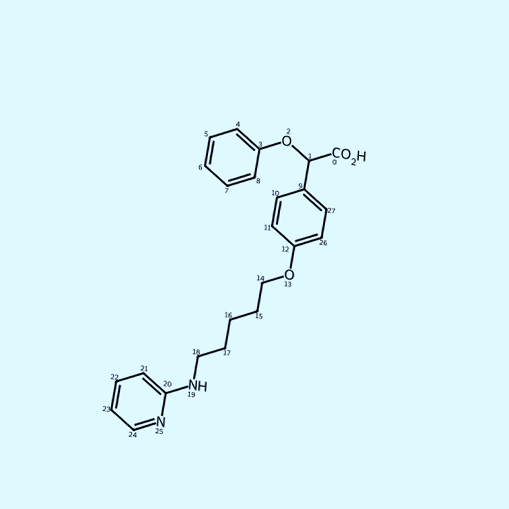 O=C(O)C(Oc1ccccc1)c1ccc(OCCCCCNc2ccccn2)cc1